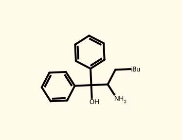 CCC(C)CC(N)C(O)(c1ccccc1)c1ccccc1